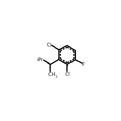 CC(C)C(C)c1c(Cl)ccc(F)c1Cl